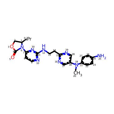 CC(C)C1COC(=O)N1c1ccnc(NCCc2ncc(N(C)c3ccc(N)cc3)cn2)n1